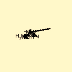 CCCCCCCCCCCCCCCCCCOC[C@H](COP(O)(=S)OC[C@H]1O[C@@](C#N)(c2ccc3c(N)ncnn23)[C@H](O)[C@@H]1O)OCc1cc(F)cc(C#N)c1